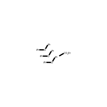 CC(C)OC(C)C.CC(C)OC(C)C.CC(C)OC(C)C.CCOC(C)=O